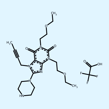 CC#CCn1c(N2CCNCC2)nc2c1c(=O)n(CCOCC)c(=O)n2CCOCC.O=C(O)C(F)(F)F